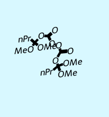 CCCC(OC)(OC)OC(=O)OOC(=O)OC(CCC)(OC)OC